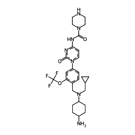 NC1CCC(N(Cc2ccc(-n3ccc(NC(=O)N4CCNCC4)nc3=O)cc2OC(F)(F)F)CC2CC2)CC1